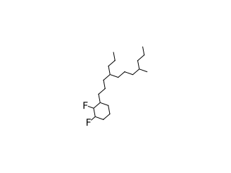 CCCC(C)CCCC(CCC)CCCC1CCCC(F)C1F